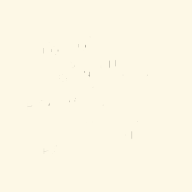 CCC1(CC)OC(c2ccccc2Cl)C(N(C)S(=O)(=O)O)O1